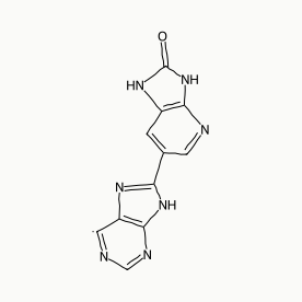 O=c1[nH]c2cc(-c3nc4[c]ncnc4[nH]3)cnc2[nH]1